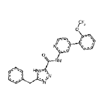 O=C(Nc1cc(-c2ccccc2OC(F)(F)F)ccn1)c1nnc(Cc2ccccc2)[nH]1